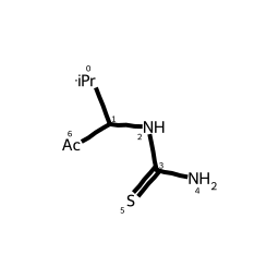 C[C](C)C(NC(N)=S)C(C)=O